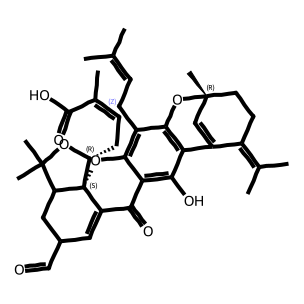 CC(C)=CCc1c2c(c(O)c3c1O[C@@]1(C)C=C3C(=C(C)C)CC1)C(=O)C1=CC(C=O)CC3C(C)(C)O[C@H](C/C=C(/C)C(=O)O)[C@@]13O2